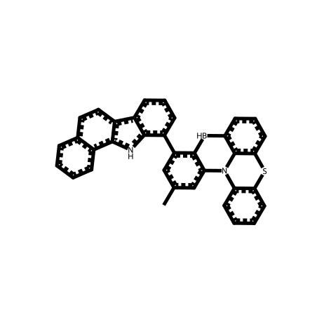 Cc1cc(-c2cccc3c2[nH]c2c4ccccc4ccc32)c2c(c1)N1c3ccccc3Sc3cccc(c31)B2